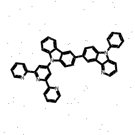 c1ccc(-n2c3ccc(-c4ccc5c(c4)c4ccccc4n5-c4cc(-c5ccccn5)nc(-c5ccccn5)c4)cc3c3ncccc32)cc1